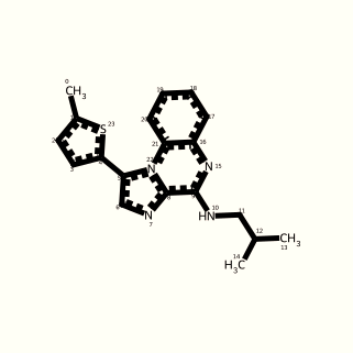 Cc1ccc(-c2cnc3c(NCC(C)C)nc4ccccc4n23)s1